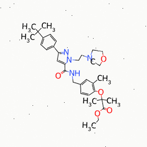 CCOC(=O)C(C)(C)Oc1ccc(CNC(=O)c2cc(-c3ccc(C(C)(C)C)cc3)nn2CCN2CCOCC2)cc1C